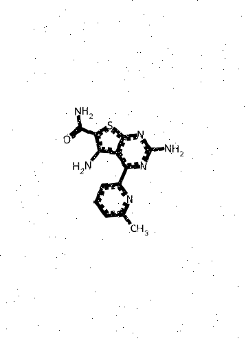 Cc1cccc(-c2nc(N)nc3sc(C(N)=O)c(N)c23)n1